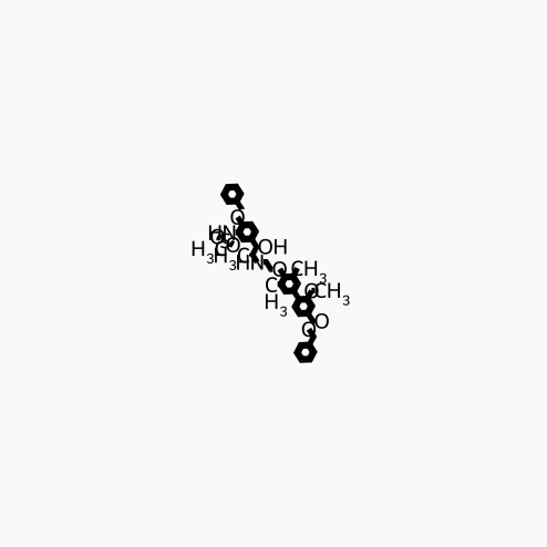 COc1cc(C(=O)OCc2ccccc2)ccc1-c1cc(C)c(OCCN[C@@H](C)[C@H](O)c2ccc(OCc3ccccc3)c(NS(C)(=O)=O)c2)c(C)c1